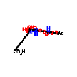 CC(=O)COCCOCCNC(=O)COCCOCCNC(=O)CC[C@H](NC(=O)CCCCCCCCCCCCCCCCC(=O)O)C(O)O